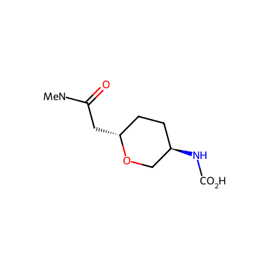 CNC(=O)C[C@@H]1CC[C@@H](NC(=O)O)CO1